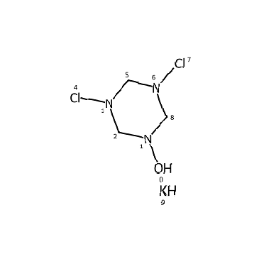 ON1CN(Cl)CN(Cl)C1.[KH]